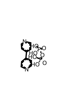 O=P(O)(O)OP(=O)(O)O.c1cc(-c2ccncc2)ccn1